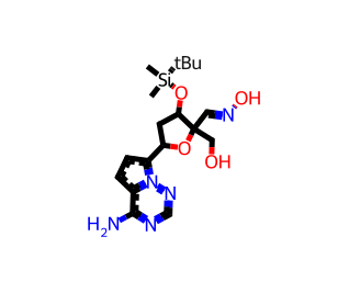 CC(C)(C)[Si](C)(C)OC1CC(c2ccc3c(N)ncnn23)OC1(C=NO)CO